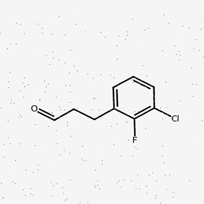 O=CCCc1cccc(Cl)c1F